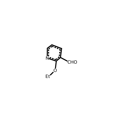 CCOc1ncccc1C=O